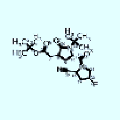 CC(C)(C)OC(=O)C[C@@H]1C[C@@H](C(=O)N2C[C@@H](F)C[C@H]2C#N)N(C(C)(C)C)C1=O